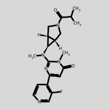 CC(C)C(=O)N1C[C@@H]2[C@H](C1)[C@H]2N(C)c1nc(-c2ccncc2F)cc(=O)n1C